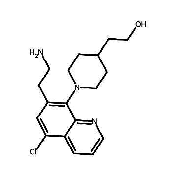 NCCc1cc(Cl)c2cccnc2c1N1CCC(CCO)CC1